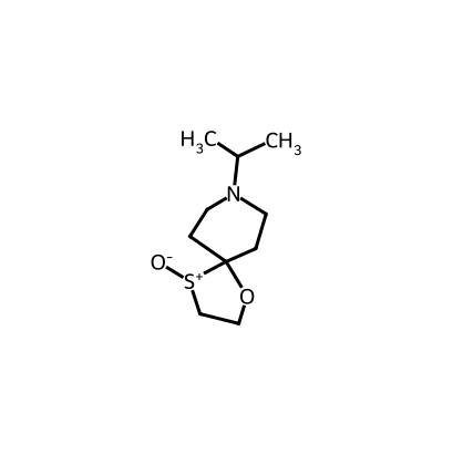 CC(C)N1CCC2(CC1)OCC[S+]2[O-]